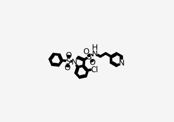 O=S(=O)(NCCc1ccncc1)c1cn(S(=O)(=O)c2ccccc2)c2cccc(Cl)c12